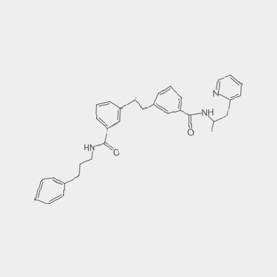 CC(Cc1ccccn1)NC(=O)c1cccc(C[CH]c2cccc(C(=O)NCCCc3ccccc3)c2)c1